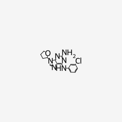 Nc1nc(Nc2cccc(Cl)c2)c2ncn(C3CCCO3)c2n1